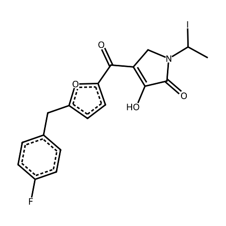 CC(I)N1CC(C(=O)c2ccc(Cc3ccc(F)cc3)o2)=C(O)C1=O